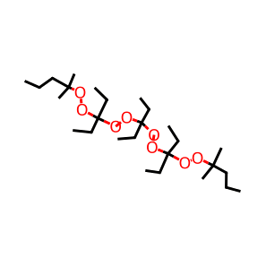 CCCC(C)(C)OOC(CC)(CC)OOC(CC)(CC)OOC(CC)(CC)OOC(C)(C)CCC